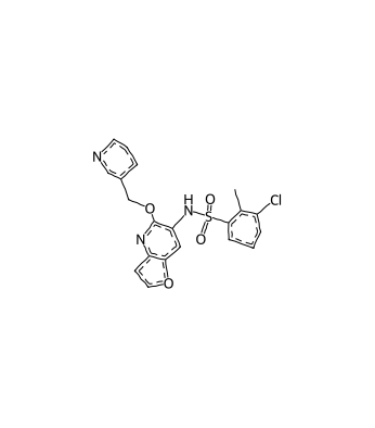 Cc1c(Cl)cccc1S(=O)(=O)Nc1cc2occc2nc1OCc1cccnc1